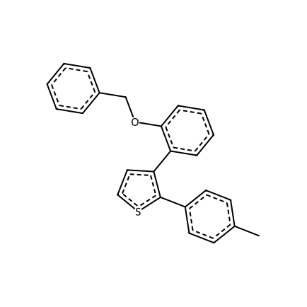 Cc1ccc(-c2sccc2-c2ccccc2OCc2ccccc2)cc1